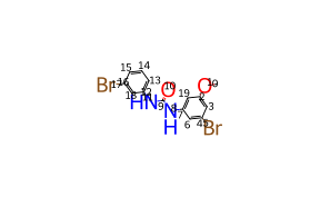 COc1cc(Br)cc(NC(=O)Nc2cccc(Br)c2)c1